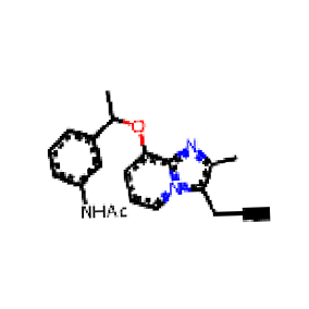 C#CCc1c(C)nc2c(OC(C)c3cccc(NC(C)=O)c3)cccn12